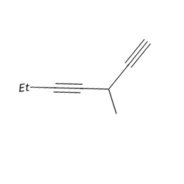 C#CC(C)C#CC[CH2]